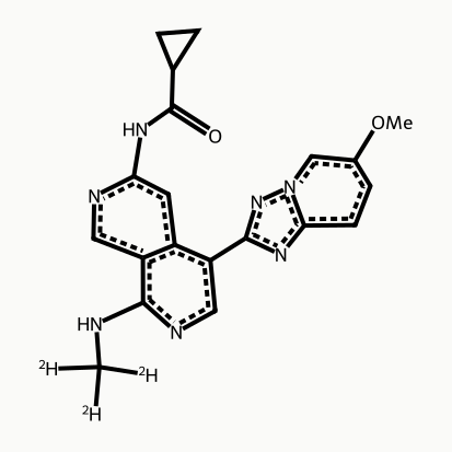 [2H]C([2H])([2H])Nc1ncc(-c2nc3ccc(OC)cn3n2)c2cc(NC(=O)C3CC3)ncc12